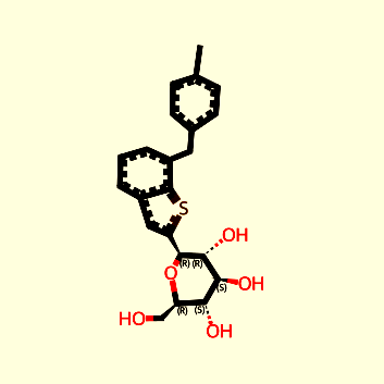 Cc1ccc(Cc2cccc3cc([C@@H]4O[C@H](CO)[C@@H](O)[C@H](O)[C@H]4O)sc23)cc1